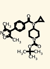 Cc1noc(C)c1-c1ccc(C(=O)N(C2CC2)C2CCN(C(=O)OC(C)(C)C)CC2)cc1